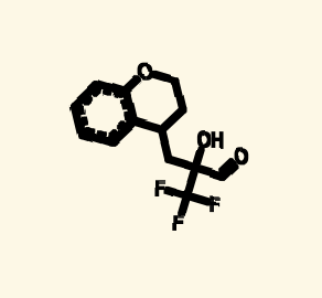 O=CC(O)(CC1CCOc2ccccc21)C(F)(F)F